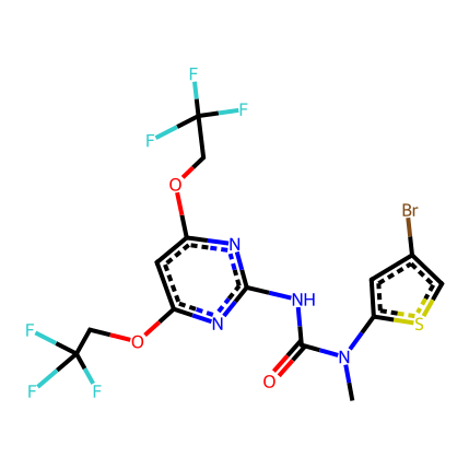 CN(C(=O)Nc1nc(OCC(F)(F)F)cc(OCC(F)(F)F)n1)c1cc(Br)cs1